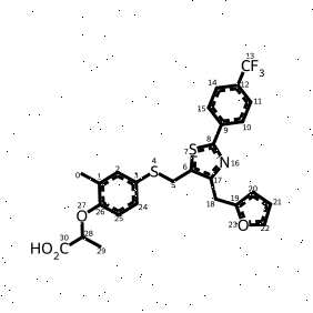 Cc1cc(SCc2sc(-c3ccc(C(F)(F)F)cc3)nc2Cc2ccco2)ccc1OC(C)C(=O)O